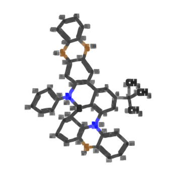 CC(C)(C)c1cc2c3c(c1)N1c4ccccc4Sc4cccc(c41)B3N(c1ccccc1)c1cc3c(cc1-2)Sc1ccccc1S3